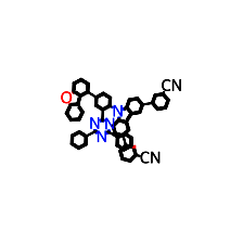 N#Cc1cccc(-c2ccc3c(c2)c2cc(-c4cccc(C#N)c4)ccc2n3-c2ccc(-c3cccc4oc5ccccc5c34)cc2-c2nc(-c3ccccc3)nc(-c3ccccc3)n2)c1